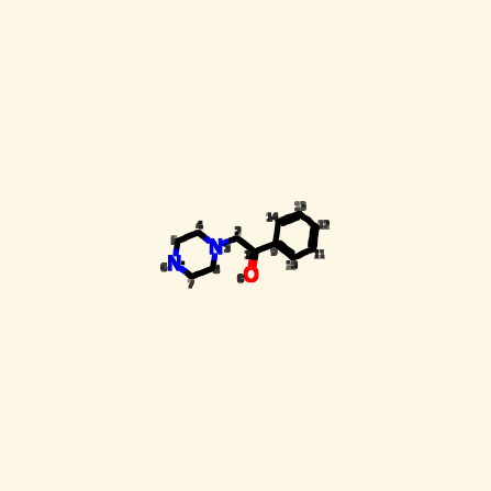 O=C(CN1CC[N]CC1)c1ccccc1